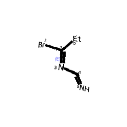 CC/C(Br)=N\C=N